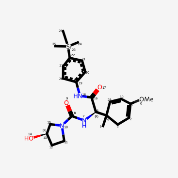 COC1=CCC(C)([C@@H](NC(=O)N2CC[C@@H](O)C2)C(=O)Nc2ccc([Si](C)(C)C)cc2)C=C1